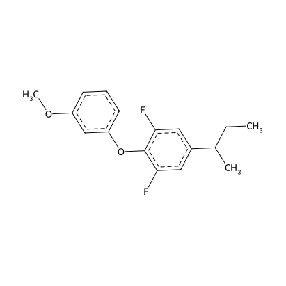 CCC(C)c1cc(F)c(Oc2cccc(OC)c2)c(F)c1